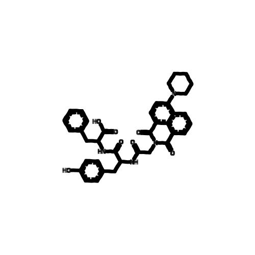 O=C(CN1C(=O)c2cccc3c(N4CCCCC4)ccc(c23)C1=O)NC(Cc1ccc(O)cc1)C(=O)NC(Cc1ccccc1)C(=O)O